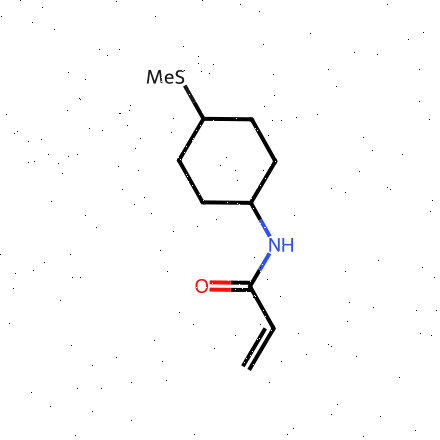 C=CC(=O)NC1CCC(SC)CC1